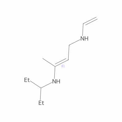 C=CNC/C=C(\C)NC(CC)CC